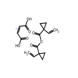 C=CC1(C(=O)OC(=O)C2(C=C)CC2)CC1.O=C(O)/C=C\C(=O)O